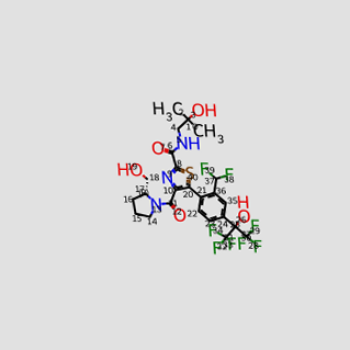 CC(C)(O)CNC(=O)c1nc(C(=O)N2CCC[C@@H]2CO)c(-c2ccc(C(O)(C(F)(F)F)C(F)(F)F)cc2C(F)F)s1